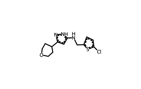 Clc1ccc(CNc2cc(C3CCOCC3)n[nH]2)s1